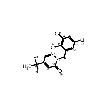 CC(F)(F)c1cnn(Cc2cc(Cl)cc(Cl)c2Cl)c(=O)c1